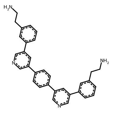 NCCc1cccc(-c2cncc(-c3ccc(-c4cncc(-c5cccc(CCN)c5)c4)cc3)c2)c1